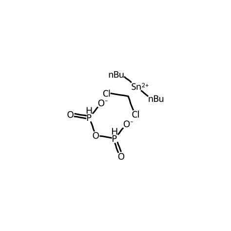 CCC[CH2][Sn+2][CH2]CCC.ClCCl.O=[PH]([O-])O[PH](=O)[O-]